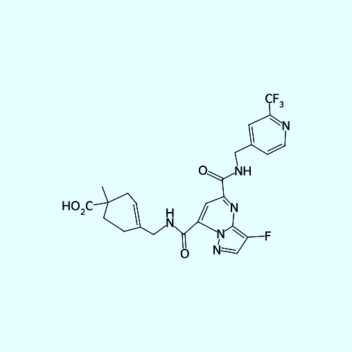 CC1(C(=O)O)CC=C(CNC(=O)c2cc(C(=O)NCc3ccnc(C(F)(F)F)c3)nc3c(F)cnn23)CC1